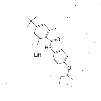 CCC(C)Oc1ccc(PC(=O)c2c(C)cc(C(C)(C)C)cc2C)cc1.[LiH]